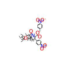 CC[Si](CC)(CC)OC(C)[C@H]1C(=O)N2C(C(=O)OCc3ccc([N+](=O)[O-])cc3)=C(c3ccc([N+](=O)[O-])cc3)[C@H](C)[C@H]12